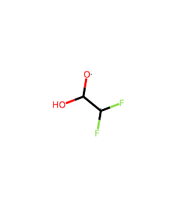 [O]C(O)[C](F)F